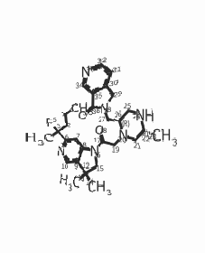 CCCC(C)(F)c1cc2c(cn1)C(C)(C)CN2C(=O)CN1C[C@@H](C)NC[C@@H]1CN1Cc2ccncc2C1=O